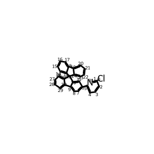 Clc1cccc(-c2ccc3c(c2)C2(c4ccccc4-c4ccccc42)c2ccccc2-3)n1